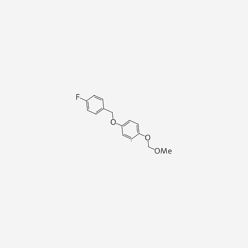 COCOc1[c]cc(OCc2ccc(F)cc2)cc1